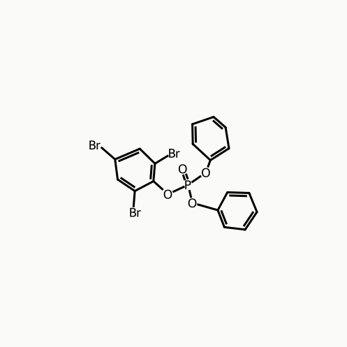 O=P(Oc1ccccc1)(Oc1ccccc1)Oc1c(Br)cc(Br)cc1Br